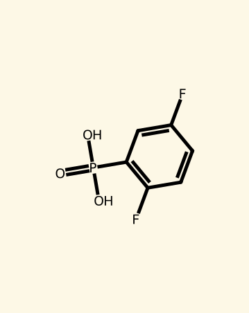 O=P(O)(O)c1cc(F)ccc1F